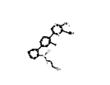 N#Cc1nc(-c2ccc(-c3ccccc3[S+]([O-])NCCO)cc2F)cnc1N